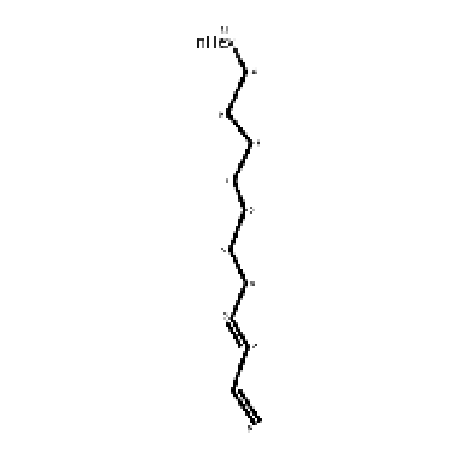 C=CC=CCCCCC[CH]CCCCCCC